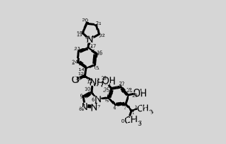 CC(C)c1cc(-n2nncc2NC(=O)c2ccc(N3CCCC3)cc2)c(O)cc1O